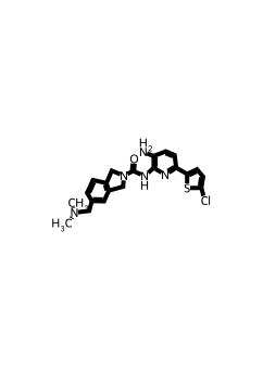 CN(C)Cc1ccc2c(c1)CN(C(=O)Nc1nc(-c3ccc(Cl)s3)ccc1N)C2